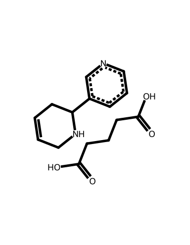 C1=CCC(c2cccnc2)NC1.O=C(O)CCCC(=O)O